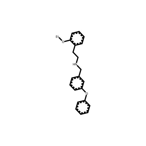 CCOc1ccccc1CCNCc1cccc(Oc2ccccc2)c1